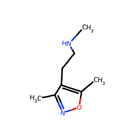 CNCCc1c(C)noc1C